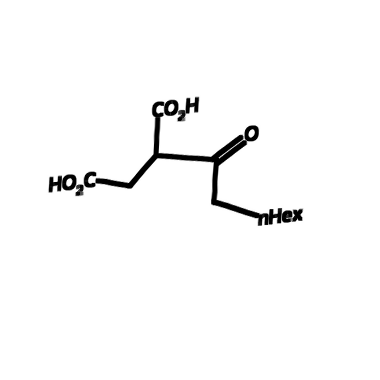 CCCCCCCC(=O)C(CC(=O)O)C(=O)O